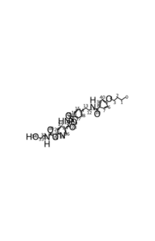 CCCCOc1ccc(C(=O)NCCc2ccc(S(=O)(=O)NC(=O)c3ccc(OC(=O)NCCO)nc3)cc2)cc1